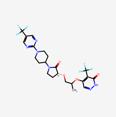 CC(CO[C@@H]1CCN(C2CCN(c3ncc(C(F)(F)F)cn3)CC2)C1=O)Oc1cn[nH]c(=O)c1C(F)(F)F